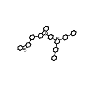 c1ccc(-c2ccc(-c3cc(-c4ccc(-c5ccccc5)cc4)nc(-c4ccc(-n5c6ccccc6c6cc(-c7cccc(-c8ccc9sc%10ccccc%10c9c8)c7)ccc65)cc4)c3)cc2)cc1